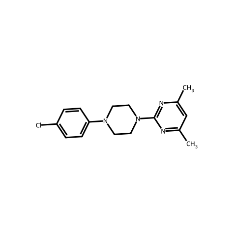 Cc1cc(C)nc(N2CCN(c3ccc(Cl)cc3)CC2)n1